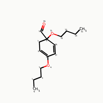 CCCCOC1=CCC(C=O)(OCCCC)C=C1